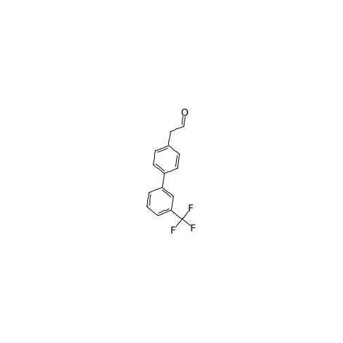 O=CCc1ccc(-c2cccc(C(F)(F)F)c2)cc1